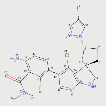 Cc1cnn([C@@H]2CC[C@]3(CNc4ncc(-c5ccc(N)c(C(=O)N(C)C)c5F)c(Cl)c43)C2)c1